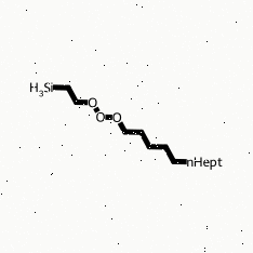 CCCCCCCCCCCCOOOCC[SiH3]